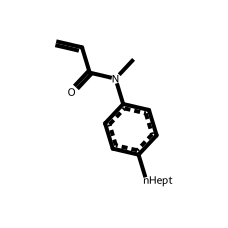 C=CC(=O)N(C)c1ccc(CCCCCCC)cc1